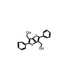 OCc1c(-c2ccccc2)sc2c(CO)c(-c3ccccc3)sc12